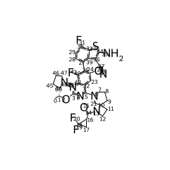 CC(Oc1nc(N2CCCC3(CCN3C(=O)C3CC3(F)F)C2)c2cc(Cl)c(-c3ccc(F)c4sc(N)c(C#N)c34)c(F)c2n1)[C@@H]1CCCN1C